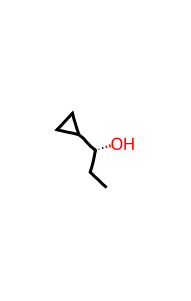 CC[C@@H](O)C1CC1